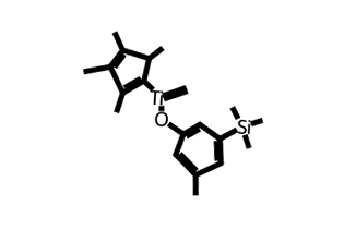 [CH2]=[Ti]([O]c1cc(C)cc([Si](C)(C)C)c1)[C]1=C(C)C(C)=C(C)C1C